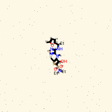 CC[C@@H](Nc1nsnc1N(C)c1c(C)sc(S(=O)(=O)N(CC)CC)c1O)c1ccc(C)o1